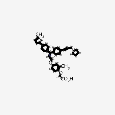 Cc1ccc(-c2ccc(/C(=C/COc3ccc(OCC(=O)O)c(C)c3)c3ccc(C#CCN4CCCC4)cc3)cc2)s1